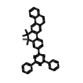 CC1(C)c2cc(-c3nc(-c4ccccc4)nc(-c4ccccc4)n3)ccc2-c2cc3ccc4ccccc4c3cc2C1(C)C